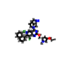 CCO[C@@H]1C[C@@H](COc2nc(N3CCC4CNC(C4)C3)c3cnc(-c4cccc5cccc(Cl)c45)c(F)c3n2)N(C)C1